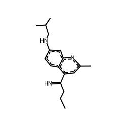 CCCC(=N)c1cc(C)nc2cc(NCC(C)C)ccc12